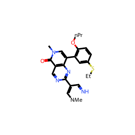 CCCOc1ccc(SCC)cc1-c1cn(C)c(=O)c2cnc(/C(C=N)=C/NC)nc12